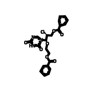 O=C(OCCO[C@@H]([C@H](Cl)COC(=O)c1ccccc1)n1cnc(=O)[nH]c1=O)c1ccccc1